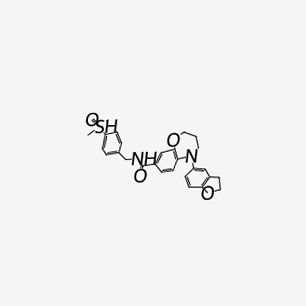 C[SH](C)(=O)c1ccc(CNC(=O)c2ccc3c(c2)OCCCN3c2ccc3c(c2)CCO3)cc1